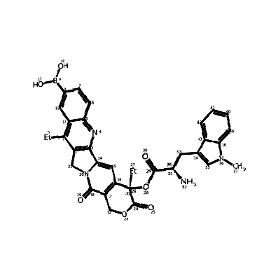 CCc1c2c(nc3ccc(B(O)O)cc13)-c1cc3c(c(=O)n1C2)COC(=O)[C@@]3(CC)OC(=O)[C@H](N)Cc1cn(C)c2ccccc12